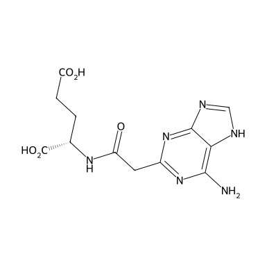 Nc1nc(CC(=O)N[C@@H](CCC(=O)O)C(=O)O)nc2nc[nH]c12